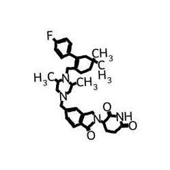 CC1CN(Cc2ccc3c(c2)CN(C2CCC(=O)NC2=O)C3=O)CC(C)N1CC1=C(c2ccc(F)cc2)CC(C)(C)CC1